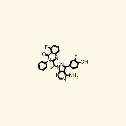 C[C@@H](c1nc2cccc(F)c2c(=O)n1-c1ccccc1)n1nc(-c2ccc(O)c(F)c2)c2c(N)ncnc21